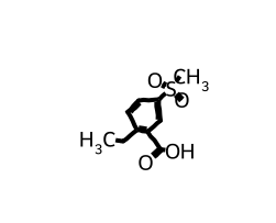 CCc1ccc(S(C)(=O)=O)cc1C(=O)O